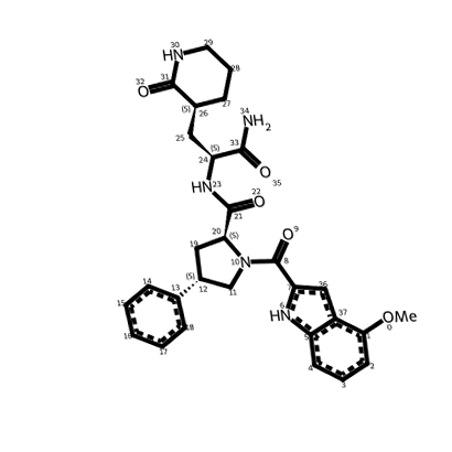 COc1cccc2[nH]c(C(=O)N3C[C@H](c4ccccc4)C[C@H]3C(=O)N[C@@H](C[C@@H]3CCCNC3=O)C(N)=O)cc12